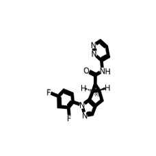 O=C(Nc1cccnn1)C1[C@@H]2Cc3cnn(-c4ccc(F)cc4F)c3[C@@H]12